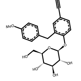 C#Cc1ccc(O[C@@H]2O[C@H](CO)[C@@H](O)[C@H](O)[C@H]2O)c(Cc2ccc(OC)cc2)c1